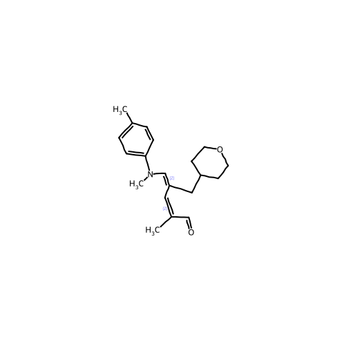 C/C(C=O)=C/C(=C\N(C)c1ccc(C)cc1)CC1CCOCC1